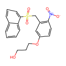 O=[N+]([O-])c1ccc(OCCCO)cc1CS(=O)(=O)c1cccc2ccccc12